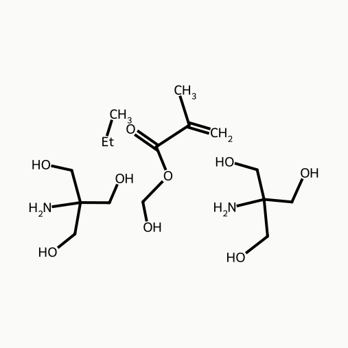 C=C(C)C(=O)OCO.CCC.NC(CO)(CO)CO.NC(CO)(CO)CO